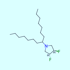 CCCCCCCC(CCCCCCC)N1C[C@@H](F)[C@H](F)C1